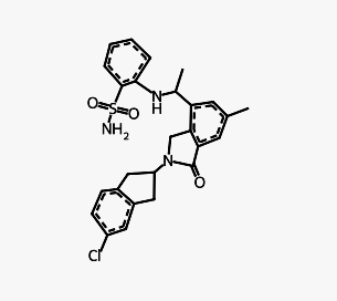 Cc1cc2c(c(C(C)Nc3ccccc3S(N)(=O)=O)c1)CN(C1Cc3ccc(Cl)cc3C1)C2=O